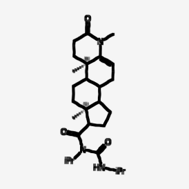 CC(C)NC(=O)N(C(=O)C1CCC2C3CC=C4N(C)C(=O)CC[C@]4(C)C3CC[C@]12C)C(C)C